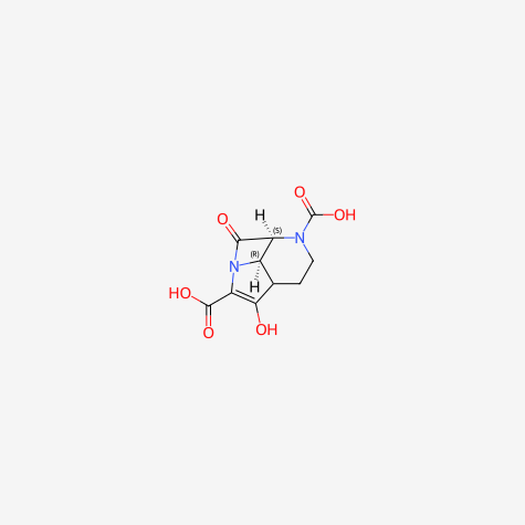 O=C(O)C1=C(O)C2CCN(C(=O)O)[C@@H]3C(=O)N1[C@H]23